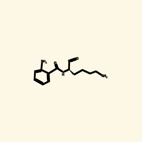 NCCCC[C@@H]([C]=O)NC(=O)c1ccccc1N